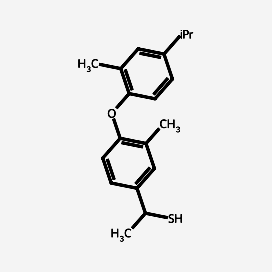 Cc1cc(C(C)C)ccc1Oc1ccc(C(C)S)cc1C